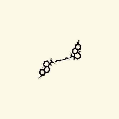 CC(C)c1ccc2c(c1)CCC1C(C)(C(=O)OCCOCCOC(=O)C3(C)CCC[C@@]4(C)c5ccc(C(C)C)cc5CCC34)CCCC21C